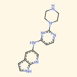 c1cc(Nc2cnc3[nH]ccc3c2)nc(N2CCNCC2)n1